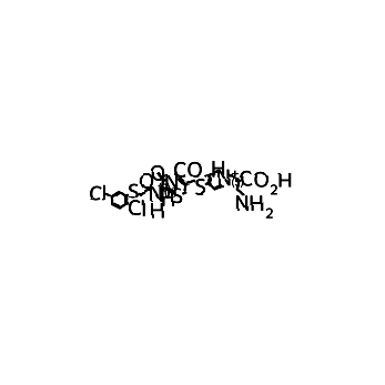 NCC[C@@H](C[n+]1ccc(SCC2=C(C(=O)O)N3C(=O)[C@H](NC(=O)CSc4cc(Cl)ccc4Cl)[C@H]3SC2)cc1)C(=O)O